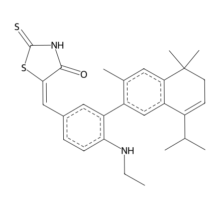 CCNc1ccc(C=C2SC(=S)NC2=O)cc1-c1cc2c(cc1C)C(C)(C)CC=C2C(C)C